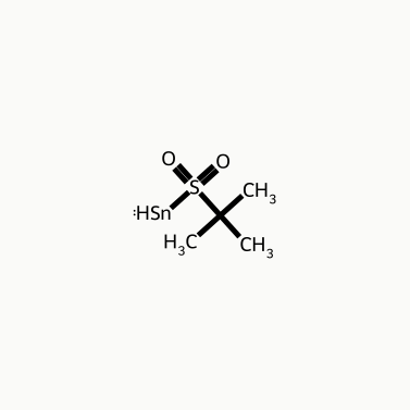 CC(C)(C)[S](=O)(=O)[SnH]